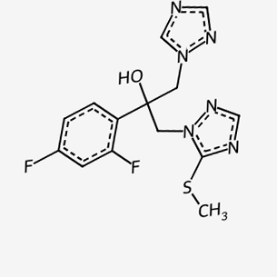 CSc1ncnn1CC(O)(Cn1cncn1)c1ccc(F)cc1F